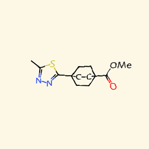 COC(=O)C12CCC(c3nnc(C)s3)(CC1)CC2